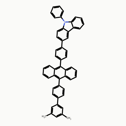 Cc1cc(C)cc(-c2ccc(-c3c4ccccc4c(-c4ccc(-c5ccc6c(c5)c5ccccc5n6-c5ccccc5)cc4)c4ccccc34)cc2)c1